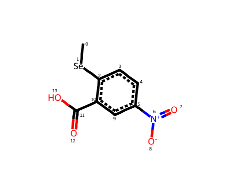 C[Se]c1ccc([N+](=O)[O-])cc1C(=O)O